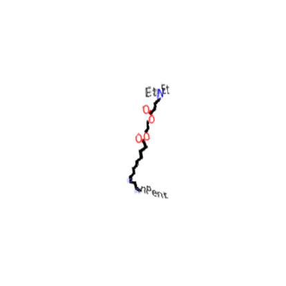 CCCCC/C=C\C/C=C\CCCCCCCC(=O)OCCCOC(=O)CCCN(CC)CC